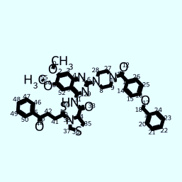 COc1cc2nc(N3CCN(C(=O)c4ccc(OCc5ccccc5)cc4)CC3)nc(NC(=O)C3CSCN3C(=S)CCC(=O)c3ccccc3)c2cc1OC